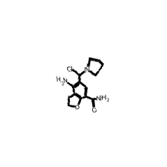 NC(=O)c1cc(C(Cl)N2CCCC2)c(N)c2c1OCC2